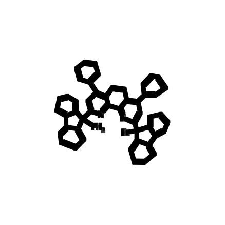 CCC1(c2cc(-c3ccccc3)c3ccc4c(-c5ccccc5)cc(C5(P)c6ccccc6-c6ccccc65)nc4c3n2)c2ccccc2-c2ccccc21